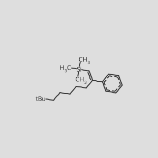 CC(C)(C)CCCCC/C(=C\[Si](C)(C)C)c1ccccc1